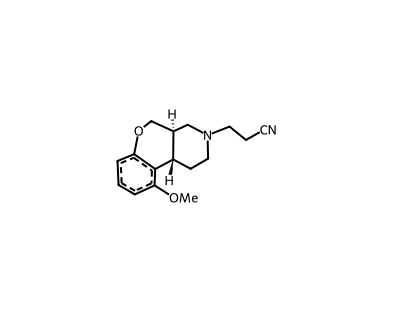 COc1cccc2c1[C@H]1CCN(CCC#N)C[C@@H]1CO2